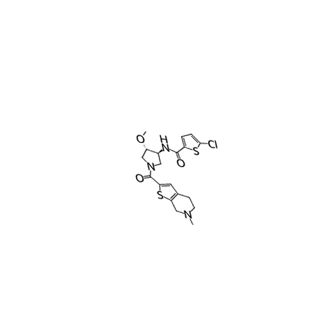 CO[C@H]1CN(C(=O)c2cc3c(s2)CN(C)CC3)C[C@@H]1NC(=O)c1ccc(Cl)s1